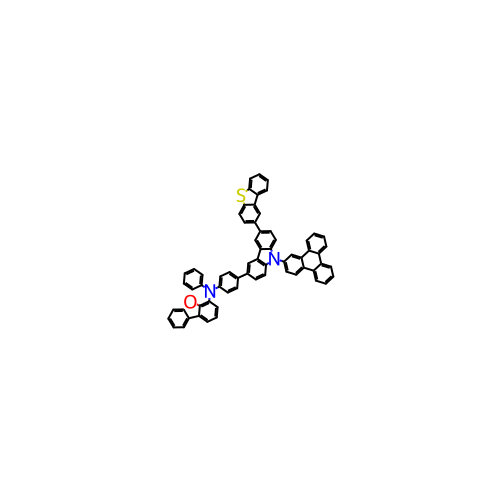 c1ccc(N(c2ccc(-c3ccc4c(c3)c3cc(-c5ccc6sc7ccccc7c6c5)ccc3n4-c3ccc4c5ccccc5c5ccccc5c4c3)cc2)c2cccc3c2oc2ccccc23)cc1